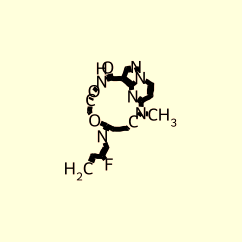 C=C/C(F)=C\N=C1/CCCN(C)c2ccn3ncc(c3n2)C(=O)NOCCO1